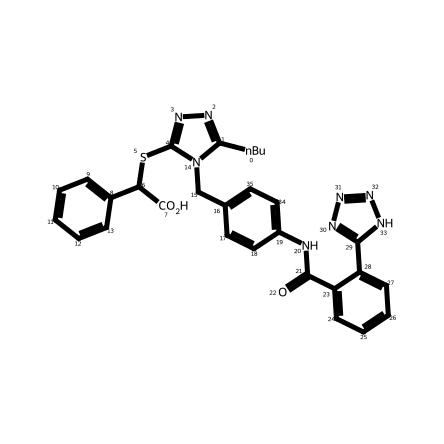 CCCCc1nnc(SC(C(=O)O)c2ccccc2)n1Cc1ccc(NC(=O)c2ccccc2-c2nnn[nH]2)cc1